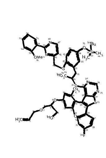 C=CCOCC(CO)Oc1cc(C)c(-c2c(-c3ccc(F)cc3)sc3ncnc(OC(Cc4cc(O[Si](C)(C)C(C)(C)C)ccc4OCc4ccnc(-c5ccccc5OC)n4)C(=O)O)c23)c(C)c1